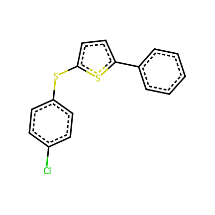 Clc1ccc(Sc2ccc(-c3ccccc3)s2)cc1